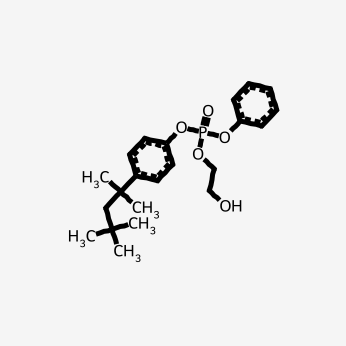 CC(C)(C)CC(C)(C)c1ccc(OP(=O)(OCCO)Oc2ccccc2)cc1